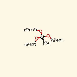 CCCCCO[Si](CCCC)(OCCCCC)OCCCCC